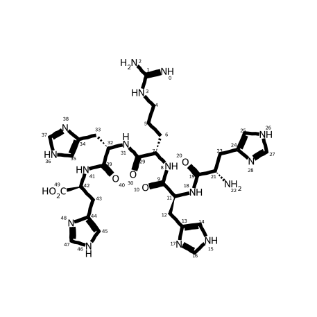 N=C(N)NCCC[C@H](NC(=O)[C@H](Cc1c[nH]cn1)NC(=O)[C@@H](N)Cc1c[nH]cn1)C(=O)N[C@@H](Cc1c[nH]cn1)C(=O)N[C@@H](Cc1c[nH]cn1)C(=O)O